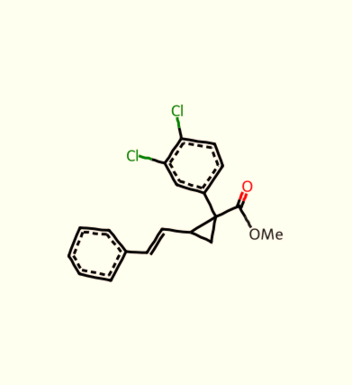 COC(=O)C1(c2ccc(Cl)c(Cl)c2)CC1C=Cc1ccccc1